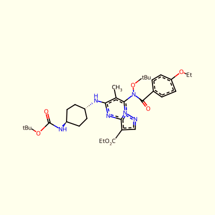 CCOC(=O)c1cnn2c(N(OC(C)(C)C)C(=O)c3ccc(OCC)cc3)c(C)c(N[C@H]3CC[C@H](NC(=O)OC(C)(C)C)CC3)nc12